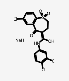 O=C1C(=C(O)Nc2ccc(Cl)c(Cl)c2)CCS(=O)(=O)c2ccc(Cl)cc21.[NaH]